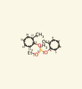 CCOP(Oc1ccccc1C)Oc1ccccc1C